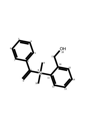 C=C(c1ccccc1)[Si](C)(C)c1ccccc1CO